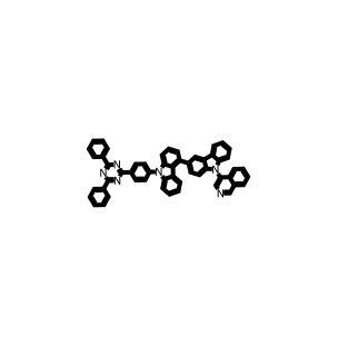 c1ccc(-c2nc(-c3ccccc3)nc(-c3ccc(-n4c5ccccc5c5c(-c6ccc7c(c6)c6ccccc6n7-c6cncc7ccccc67)cccc54)cc3)n2)cc1